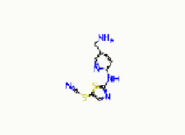 N#CSc1cnc(Nc2ccc(CN)cn2)s1